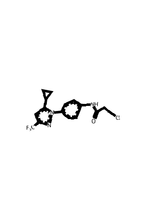 O=C(CCl)Nc1ccc(-n2nc(C(F)(F)F)cc2C2CC2)cc1